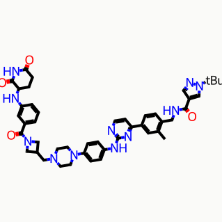 Cc1cc(-c2ccnc(Nc3ccc(N4CCN(CC5CN(C(=O)c6cccc(NC7CCC(=O)NC7=O)c6)C5)CC4)cc3)n2)ccc1CNC(=O)c1cnn(C(C)(C)C)c1